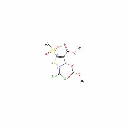 COC(=O)OC1C(C(=O)OC)=C(S(C)(=O)=O)SN1C(Cl)Cl